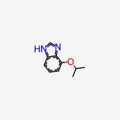 CC(C)Oc1cccc2[nH]cnc12